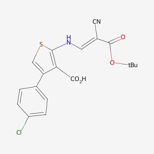 CC(C)(C)OC(=O)/C(C#N)=C/Nc1scc(-c2ccc(Cl)cc2)c1C(=O)O